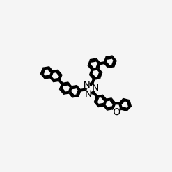 c1ccc(-c2cccc3cc(-c4nc(-c5ccc6ccc(-c7ccc8ccccc8c7)cc6c5)nc(-c5ccc6cc7oc8ccccc8c7cc6c5)n4)ccc23)cc1